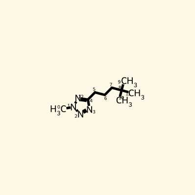 Cn1nnc(CCCC(C)(C)C)n1